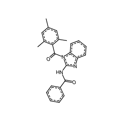 Cc1cc(C)c(C(=O)n2c(NC(=O)c3ccccc3)nc3ccccc32)c(C)c1